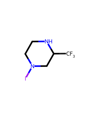 FC(F)(F)C1CN(I)CCN1